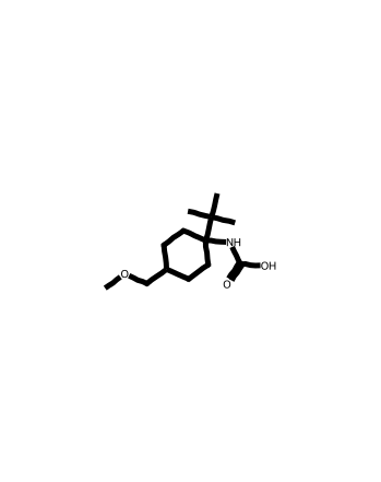 COCC1CCC(NC(=O)O)(C(C)(C)C)CC1